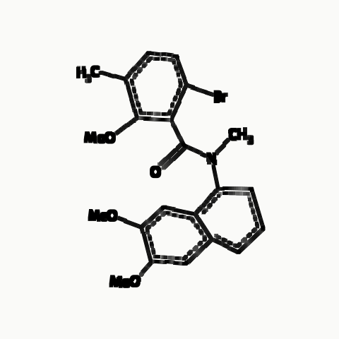 COc1cc2cccc(N(C)C(=O)c3c(Br)ccc(C)c3OC)c2cc1OC